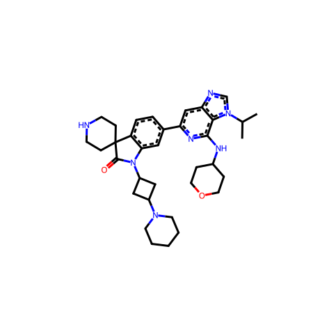 CC(C)n1cnc2cc(-c3ccc4c(c3)N(C3CC(N5CCCCC5)C3)C(=O)C43CCNCC3)nc(NC3CCOCC3)c21